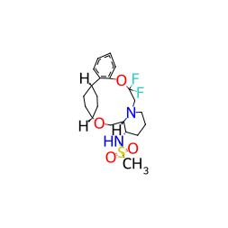 CS(=O)(=O)N[C@H]1CCCN2CC(F)(F)Oc3ccccc3[C@H]3CC[C@H](CC3)OC[C@@H]12